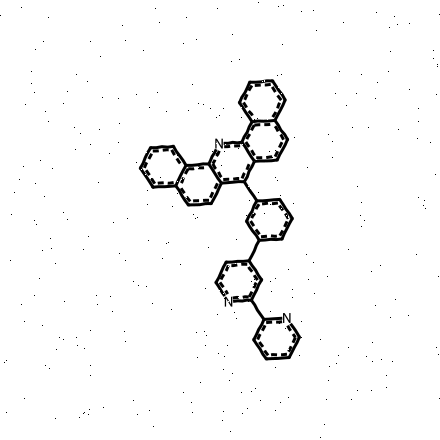 c1ccc(-c2cc(-c3cccc(-c4c5ccc6ccccc6c5nc5c4ccc4ccccc45)c3)ccn2)nc1